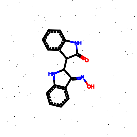 O=C1Nc2ccccc2C1C1Nc2ccccc2/C1=N\O